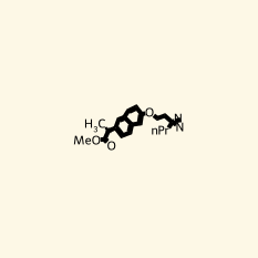 CCCC1(CCOc2ccc3cc([C@H](C)C(=O)OC)ccc3c2)N=N1